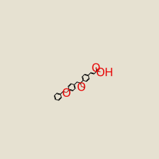 COC(Cc1ccc(OCc2ccccc2)cc1)c1ccc(/C=C/C(=O)O)cc1